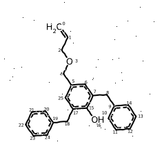 C=CCOCc1cc(Cc2ccccc2)c(O)c(Cc2ccccc2)c1